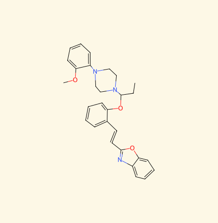 CCC(Oc1ccccc1C=Cc1nc2ccccc2o1)N1CCN(c2ccccc2OC)CC1